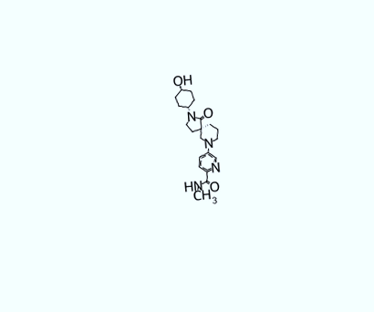 CNC(=O)c1ccc(N2CCC[C@@]3(CCN([C@H]4CC[C@H](O)CC4)C3=O)C2)cn1